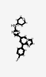 Fc1ccc(-c2cc(-c3cnc(NC4CCOCC4)s3)cn3ccnc23)cc1